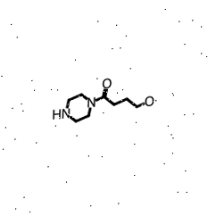 [O]CCCC(=O)N1CCNCC1